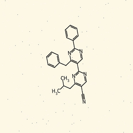 CC(C)Cc1nc(-c2cnc(-c3ccccc3)nc2Cc2ccccc2)ncc1C#N